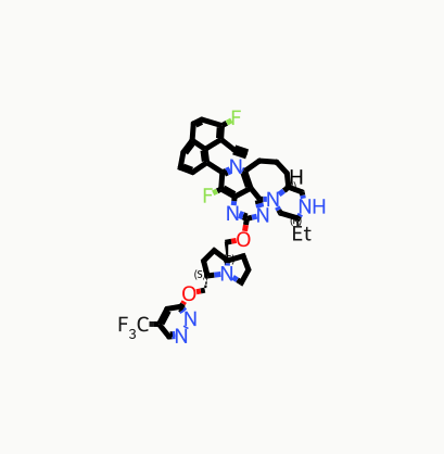 C#Cc1c(F)ccc2cccc(-c3nc4c5c(nc(OC[C@@]67CCCN6[C@H](COc6cc(C(F)(F)F)cnn6)CC7)nc5c3F)N3C[C@@H](CC)NC[C@H]3CCC4)c12